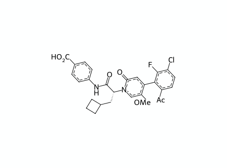 COc1cn([C@H](CC2CCC2)C(=O)Nc2ccc(C(=O)O)cc2)c(=O)cc1-c1c(C(C)=O)ccc(Cl)c1F